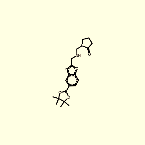 CC1(C)OB(c2ccc3oc(CNCN4CCCC4=O)nc3c2)OC1(C)C